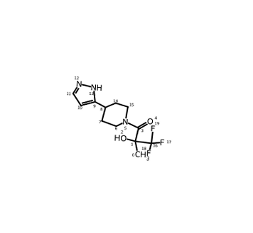 CC(O)(C(=O)N1CCC(c2ccn[nH]2)CC1)C(F)(F)F